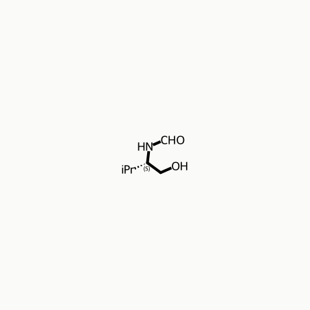 CC(C)[C@@H](CO)NC=O